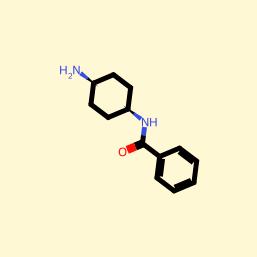 N[C@H]1CC[C@@H](NC(=O)c2ccccc2)CC1